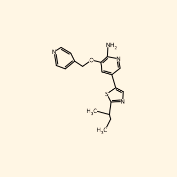 CCC(C)c1ncc(-c2cnc(N)c(OCc3ccncc3)c2)s1